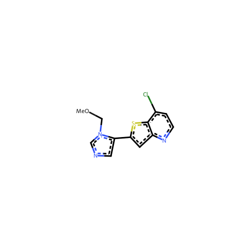 COCn1cncc1-c1cc2nccc(Cl)c2s1